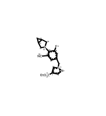 CCOC(=O)c1cnn(Cc2cc(F)c(N3CC4CC4C3)c(C#N)c2)c1